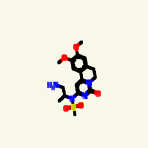 COc1cc2c(cc1OC)-c1cc(N(C(C)CN)S(C)(=O)=O)nc(=O)n1CC2